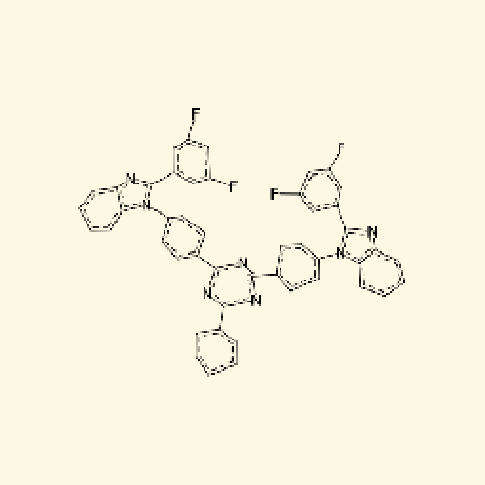 Fc1cc(F)cc(-c2nc3ccccc3n2-c2ccc(-c3nc(-c4ccccc4)nc(-c4ccc(-n5c(-c6cc(F)cc(F)c6)nc6ccccc65)cc4)n3)cc2)c1